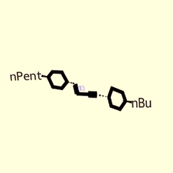 CCCCC[C@H]1CC[C@H](/C=C/C#C[C@H]2CC[C@H](CCCC)CC2)CC1